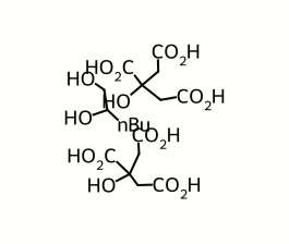 CCCCC(O)CO.O=C(O)CC(O)(CC(=O)O)C(=O)O.O=C(O)CC(O)(CC(=O)O)C(=O)O